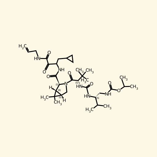 C=CCNC(=O)C(=O)C(CC1CC1)NC(=O)[C@@H]1[C@@H]2[C@H](CN1C(=O)[C@@H](NC(=O)N[C@H](CNC(=O)OC(C)C)C(C)C)C(C)(C)C)C2(C)C